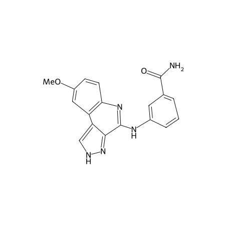 COc1ccc2nc(Nc3cccc(C(N)=O)c3)c3n[nH]cc3c2c1